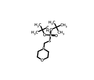 CC(C)(C)OP(=O)(OC(C)(C)C)SCN1CCOCC1